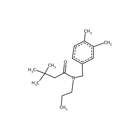 CCCN(Cc1ccc(C)c(C)c1)C(=O)CC(C)(C)C